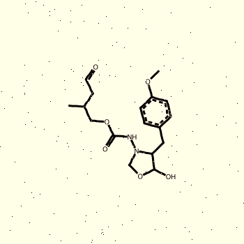 COc1ccc(CC2C(O)OCN2NC(=O)OCC(C)CC=O)cc1